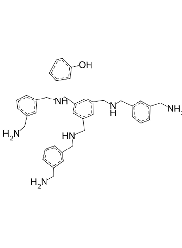 NCc1cccc(CNCc2cc(CNCc3cccc(CN)c3)cc(CNCc3cccc(CN)c3)c2)c1.Oc1ccccc1